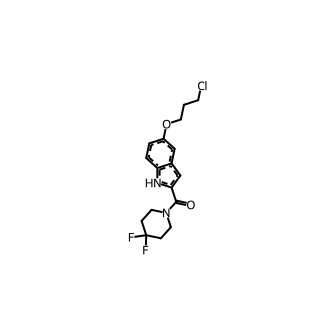 O=C(c1cc2cc(OCCCCl)ccc2[nH]1)N1CCC(F)(F)CC1